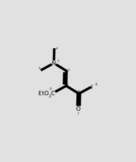 CCOC(=O)/C(=C\N(C)C)C(=O)I